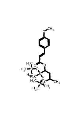 COc1ccc(C=CC(=O)OC(CC(C)C)[Si](C)(O[Si](C)(C)C)O[Si](C)(C)C)cc1